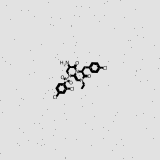 CCN1C=C2N(C(=O)C(N)CN2S(=O)(=O)c2ccc(Cl)cc2Cl)C(Cc2ccc(Cl)cc2)C1=O